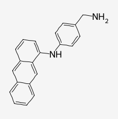 NCc1ccc(Nc2cccc3cc4ccccc4cc23)cc1